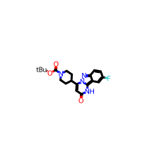 CC(C)(C)OC(=O)N1CCC(c2cc(=O)[nH]c3c4cc(F)ccc4nn23)CC1